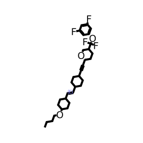 CCCCOC1CCC(/C=C/C2CCC(C#CC3CCC(C(F)(F)Oc4cc(F)cc(F)c4)CO3)CC2)CC1